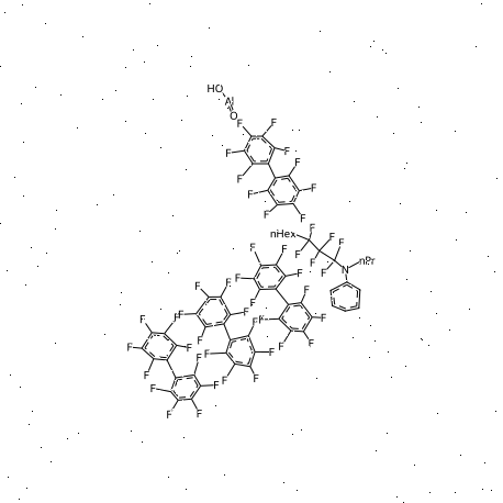 CCCCCCC(F)(F)C(F)(F)C(F)(F)N(CCC)c1ccccc1.Fc1c(F)c(F)c(-c2c(F)c(F)c(F)c(F)c2F)c(F)c1F.Fc1c(F)c(F)c(-c2c(F)c(F)c(F)c(F)c2F)c(F)c1F.Fc1c(F)c(F)c(-c2c(F)c(F)c(F)c(F)c2F)c(F)c1F.Fc1c(F)c(F)c(-c2c(F)c(F)c(F)c(F)c2F)c(F)c1F.[O]=[Al][OH]